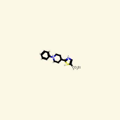 CCOC(=O)c1cnc(C2CCN(c3ccccc3)CC2)s1